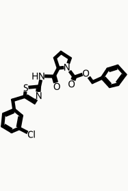 O=C(Nc1ncc(Cc2cccc(Cl)c2)s1)C1CCCN1C(=O)OCc1ccccc1